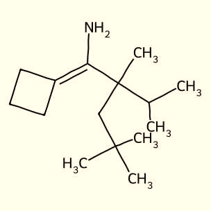 CC(C)C(C)(CC(C)(C)C)C(N)=C1CCC1